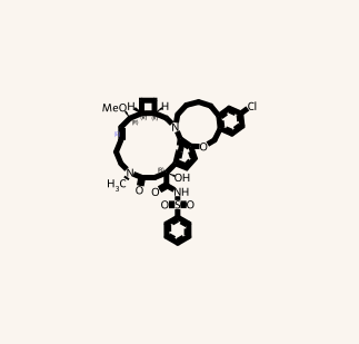 CO[C@H]1/C=C/CCN(C)C(=O)C[C@](O)(C(=O)NS(=O)(=O)c2ccccc2)c2ccc3c(c2)N(CCCCc2cc(Cl)ccc2CO3)C[C@@H]2CC[C@H]21